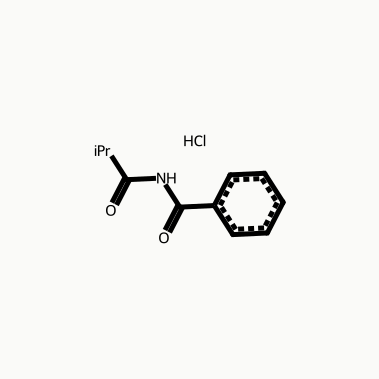 CC(C)C(=O)NC(=O)c1ccccc1.Cl